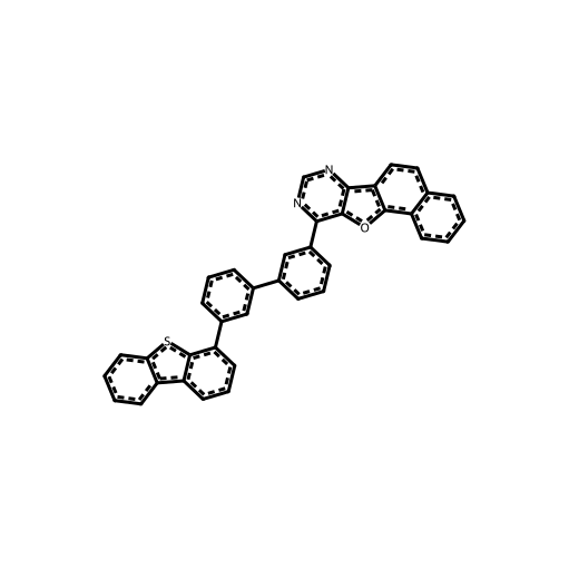 c1cc(-c2cccc(-c3cccc4c3sc3ccccc34)c2)cc(-c2ncnc3c2oc2c4ccccc4ccc32)c1